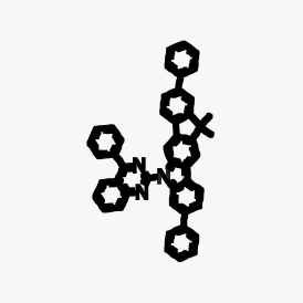 CC1(C)c2cc(-c3ccccc3)ccc2-c2cc3c(cc21)c1ccc(-c2ccccc2)cc1n3-c1nc(-c2ccccc2)c2ccccc2n1